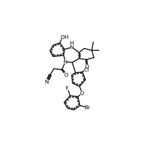 CC1(C)CC(=O)C2=C(C1)Nc1c(O)cccc1N(C(=O)CC#N)C2c1ccc(Oc2c(F)cccc2Br)cc1Cl